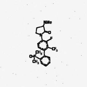 CNC1CCN(c2ccc(-c3ccccc3P(C)(C)=O)c(C(F)(F)F)c2F)C1=O